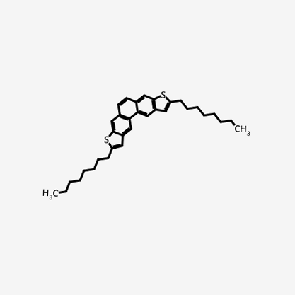 CCCCCCCCc1cc2cc3c(ccc4cc5sc(CCCCCCCC)cc5cc43)cc2s1